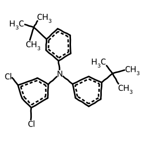 CC(C)(C)c1cccc(N(c2cc(Cl)cc(Cl)c2)c2cccc(C(C)(C)C)c2)c1